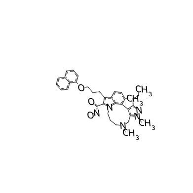 CCCc1nn(C)c2c1-c1c(C)ccc3c(CCCOc4cccc5ccccc45)c(C(=O)N=O)n(c13)CCCN(C)C2